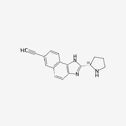 C#Cc1ccc2c(ccc3nc([C@@H]4CCCN4)[nH]c32)c1